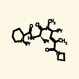 C/C(=C\[C@H](C(C)C)N(C)C(=O)[C@@H](NC(=O)C1CCCCN1C(C)C)C(C)C)C(=O)N1CCC1